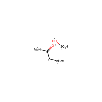 CCCCCCCC(=O)NC.O=S(=O)(O)O